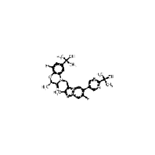 Cc1nc2cc(F)c(-c3cnc(C(C)(C)O)nc3)cn2c1CN1C(=O)[C@@H](C)Oc2c(F)cc(C(C)(C)O)cc21